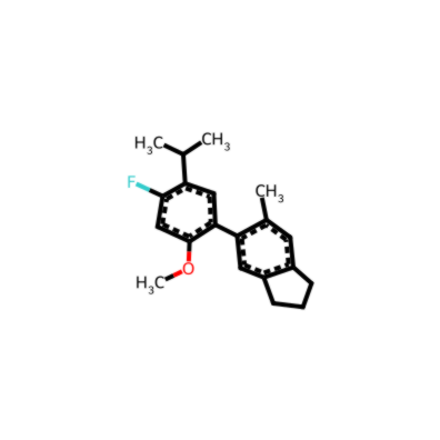 COc1cc(F)c(C(C)C)cc1-c1cc2c(cc1C)CCC2